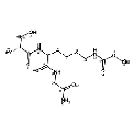 CC(C)[C@H](NO)C(=O)NC(CCCCNC(=O)OC(C)(C)C)C(=O)NCC(N)=O